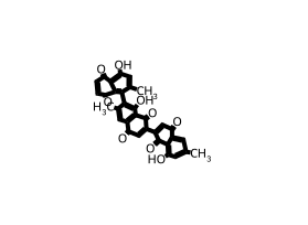 Cc1cc(O)c2c(c1)C(=O)C=C(C1=CC(=O)c3cc(C)c(-c4c(C)cc(O)c5c4C(=O)C=CC5=O)c(O)c3C1=O)C2=O